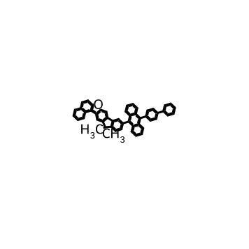 CC1(C)c2ccc(-c3c4ccccc4c(-c4ccc(-c5ccccc5)cc4)c4ccccc34)cc2-c2cc3oc4ccc5ccccc5c4c3cc21